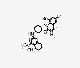 CN(C)c1nc(N[C@H]2CC[C@@H](CN(C(N)=O)c3c(Br)cc(Br)cc3Br)CC2)nc2c1CCCC2